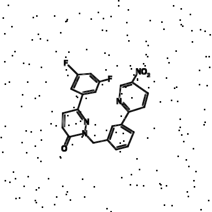 O=c1ccc(-c2cc(F)cc(F)c2)nn1Cc1cccc(-c2ccc([N+](=O)[O-])cn2)c1